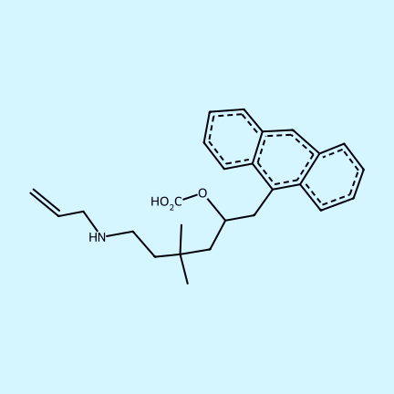 C=CCNCCC(C)(C)CC(Cc1c2ccccc2cc2ccccc12)OC(=O)O